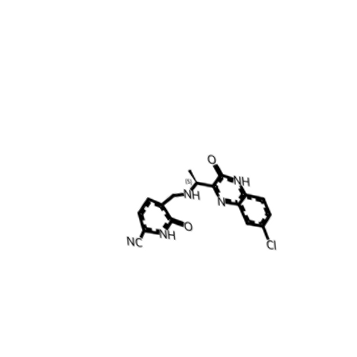 C[C@H](NCc1ccc(C#N)[nH]c1=O)c1nc2cc(Cl)ccc2[nH]c1=O